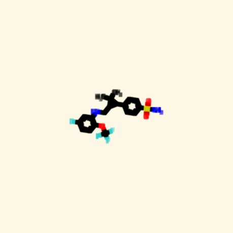 CC1(C)C(CNc2cc(F)ccc2OC(F)(F)F)C1c1ccc(S(N)(=O)=O)cc1